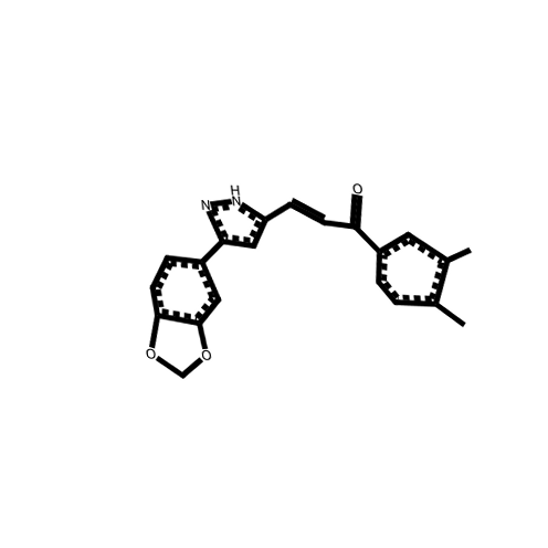 Cc1ccc(C(=O)C=Cc2cc(-c3ccc4c(c3)OCO4)n[nH]2)cc1C